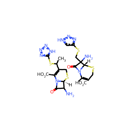 CC(Sc1nnn[nH]1)C1=C(C(=O)O)N2C(=O)C(N)[C@@H]2SC1.NC1(CSc2c[nH]nn2)C(=O)N2C(C(=O)O)=CCS[C@H]21